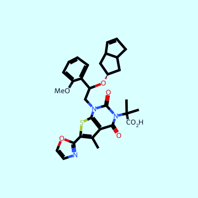 COc1ccccc1C(Cn1c(=O)n(C(C)(C)C(=O)O)c(=O)c2c(C)c(-c3ncco3)sc21)O[C@@H]1CC2C=CCC2C1